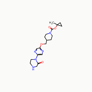 CC1(OC(=O)N2CCC(COc3cnc(N4CCNCC4=O)cn3)CC2)CC1